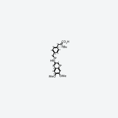 COc1cc2ncc(N/N=C/c3ccc(CN(C(=O)O)C(C)(C)C)cc3)nc2cc1OC